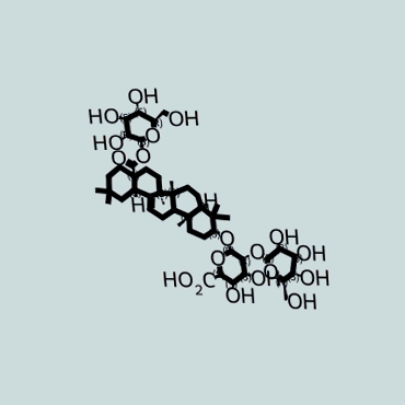 CC1(C)CC[C@]2(C(=O)O[C@@H]3O[C@H](CO)[C@@H](O)[C@H](O)[C@H]3O)CC[C@]3(C)C(=CCC4[C@@]5(C)CC[C@H](O[C@@H]6O[C@H](C(=O)O)[C@@H](O)[C@H](O)[C@H]6O[C@@H]6O[C@H](CO)[C@@H](O)[C@H](O)[C@H]6O)C(C)(C)[C@@H]5CC[C@]43C)[C@@H]2C1